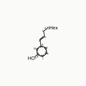 CCCCCCC/C=C/c1cccc(O)c1